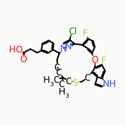 CC1(C)CCCC(c2cccc(CCC(=O)O)c2)n2cc(Cl)c(n2)-c2cc(ccc2F)Oc2c(F)cc3[nH]ccc3c2CCSC1